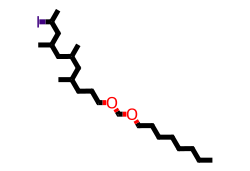 CCCCCCCCOCOCCCC(C)CC(C)CC(C)CC(C)I